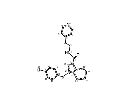 O=C(NCCc1ccncc1)c1nn(Cc2ccc(Cl)cc2)c2ccccc12